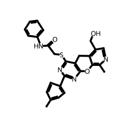 Cc1ccc(-c2nc3c(c(SCC(=O)Nc4ccccc4)n2)Cc2c(CO)cnc(C)c2O3)cc1